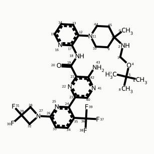 CC1(NCOC(C)(C)C)CCN(c2cccnc2NC(=O)c2nc(-c3nc(N4CC(F)(F)C4)ccc3C(F)(F)F)cnc2N)CC1